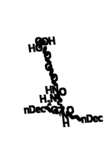 CCCCCCCCCCCCCC(=O)N[C@H](COCCCCCCCCCCCC)CSC[C@H](N)C(=O)NCCOCCOCCOCCP(=O)(O)O